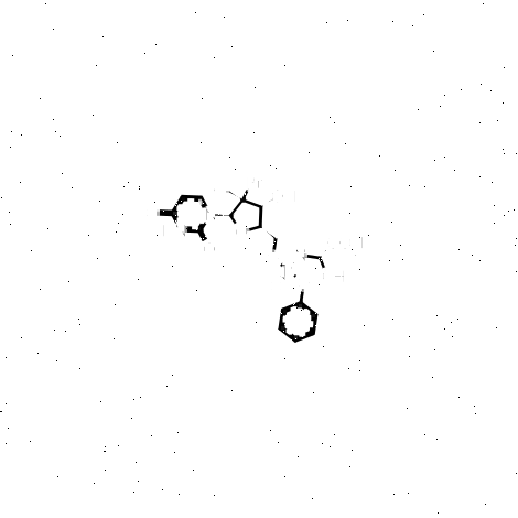 C[C@H](N[P@](=O)(OC[C@H]1O[C@@H](n2ccc(=O)[nH]c2=O)[C@](Cl)(Br)[C@@H]1O)Oc1ccccc1)C(=O)O